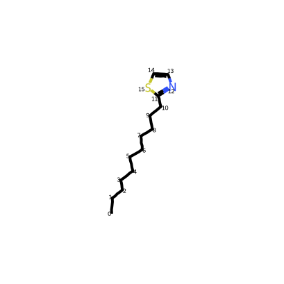 CCCCCCCCCCCc1nccs1